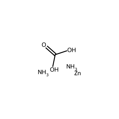 N.N.O=C(O)O.[Zn]